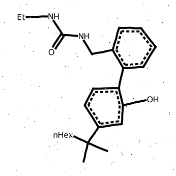 CCCCCCC(C)(C)c1ccc(-c2ccccc2CNC(=O)NCC)c(O)c1